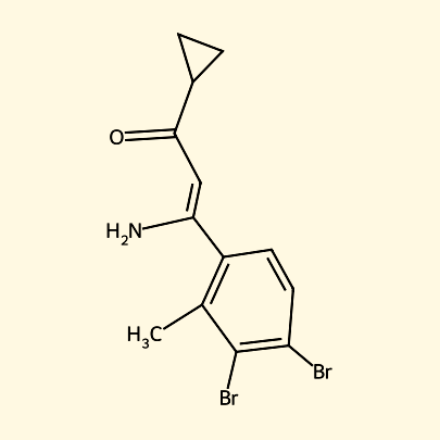 Cc1c(C(N)=CC(=O)C2CC2)ccc(Br)c1Br